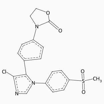 CS(=O)(=O)c1ccc(-n2cnc(Cl)c2-c2ccc(N3CCOC3=O)cc2)cc1